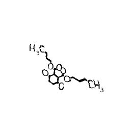 CCCCOC(=O)C1C(=O)CCC(=O)C1C(=O)OCCCC